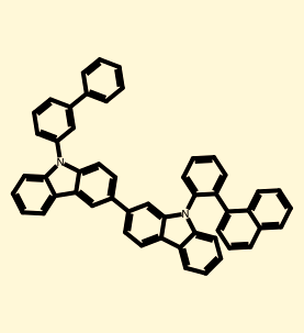 c1ccc(-c2cccc(-n3c4ccccc4c4cc(-c5ccc6c7ccccc7n(-c7ccccc7-c7cccc8ccccc78)c6c5)ccc43)c2)cc1